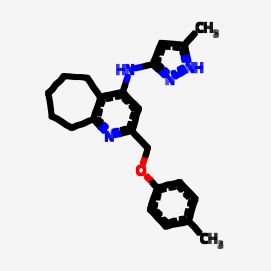 Cc1ccc(OCc2cc(Nc3cc(C)[nH]n3)c3c(n2)CCCCC3)cc1